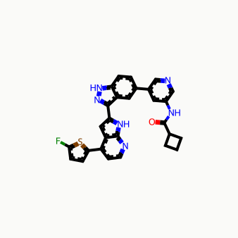 O=C(Nc1cncc(-c2ccc3[nH]nc(-c4cc5c(-c6ccc(F)s6)ccnc5[nH]4)c3c2)c1)C1CCC1